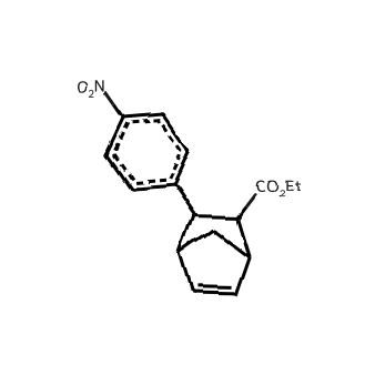 CCOC(=O)C1C2C=CC(C2)C1c1ccc([N+](=O)[O-])cc1